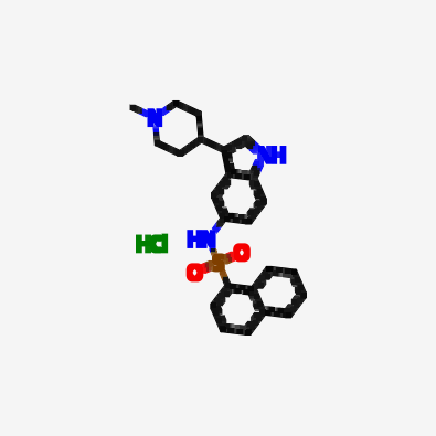 CN1CCC(c2c[nH]c3ccc(NS(=O)(=O)c4cccc5ccccc45)cc23)CC1.Cl